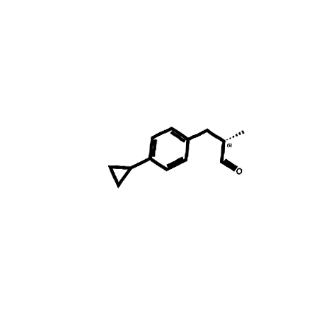 C[C@H](C=O)Cc1ccc(C2CC2)cc1